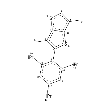 Cc1csc2c(C)c(-c3c(C(C)C)cc(C(C)C)cc3C(C)C)sc12